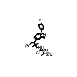 CC(C)CC(c1ccc2c(cnn2-c2ccc(F)cc2)c1)C(C)(C)CNC(=O)N[C@@H](C)C(C)(C)C